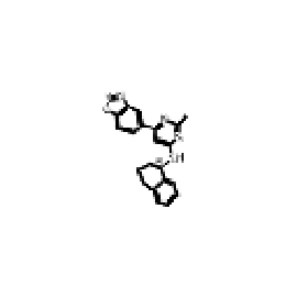 Cc1nc(N[C@@H]2CCCc3ccccc32)cc(-c2ccc3onnc3c2)n1